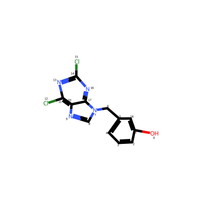 Oc1cccc(Cn2cnc3c(Cl)nc(Cl)nc32)c1